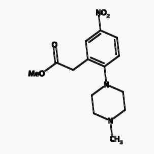 COC(=O)Cc1cc([N+](=O)[O-])ccc1N1CCN(C)CC1